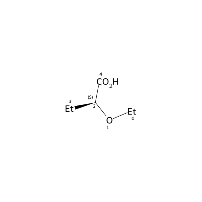 CCO[C@@H](CC)C(=O)O